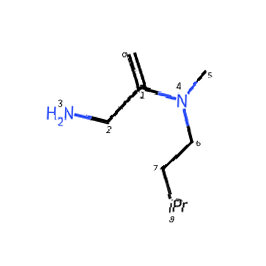 C=C(CN)N(C)CCC(C)C